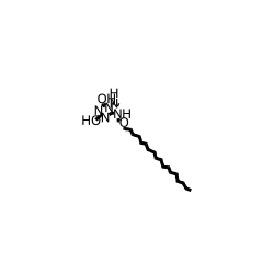 CCCCCCCCCCCCCCCCCCOCNC1N=C(O)N=C(O)N1NC